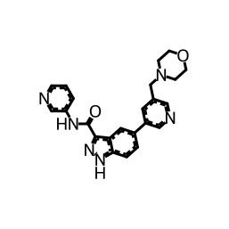 O=C(Nc1cccnc1)c1n[nH]c2ccc(-c3cncc(CN4CCOCC4)c3)cc12